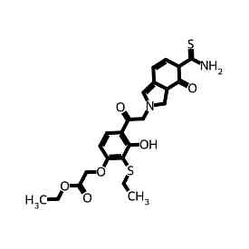 CCOC(=O)COc1ccc(C(=O)CN2C=C3C=CC(C(N)=S)C(=O)C3C2)c(O)c1SCC